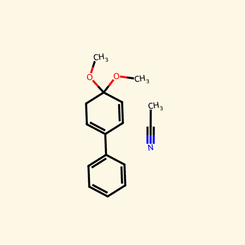 CC#N.COC1(OC)C=CC(c2ccccc2)=CC1